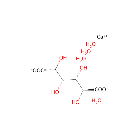 O.O.O.O.O=C([O-])[C@@H](O)[C@@H](O)[C@H](O)[C@@H](O)C(=O)[O-].[Ca+2]